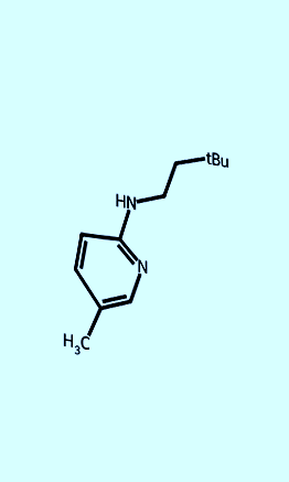 Cc1ccc(NCCC(C)(C)C)nc1